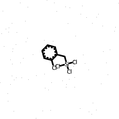 Clc1ccccc1C[Si](Cl)(Cl)Cl